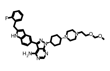 COCOCCN1CCN([C@H]2CC[C@H](n3nc(-c4ccc5[nH]c(Cc6ccccc6F)cc5c4)c4c(N)ncnc43)CC2)CC1